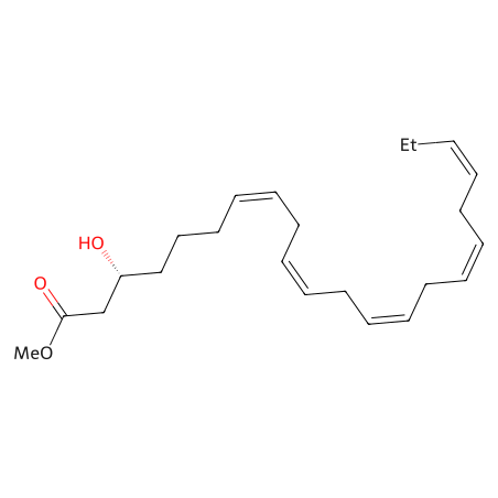 CC/C=C\C/C=C\C/C=C\C/C=C\C/C=C\CCC[C@@H](O)CC(=O)OC